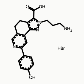 Br.NCCCn1nc2c(c1C(=O)O)CCc1cnc(-c3ccc(O)cc3)cc1-2